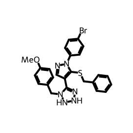 COc1ccc(CN2NNN=C2c2cnn(-c3ccc(Br)cc3)c2SCc2ccccc2)cc1